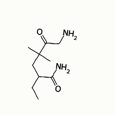 CCC(CC(C)(C)C(=O)CN)C(N)=O